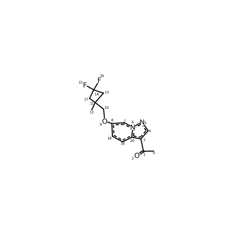 CC(=O)c1cnn2cc(OCC3(C)CC(F)(F)C3)ccc12